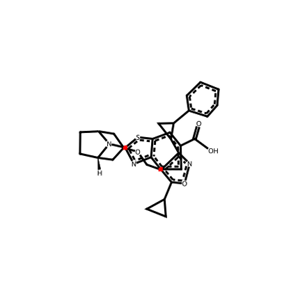 O=C(O)c1ccc2nc(N3C4CC[C@H]3CC(OCc3c(C5CC5c5ccccc5)noc3C3CC3)C4)sc2c1